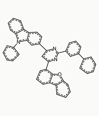 c1ccc(-c2cccc(-c3nc(-c4ccc5c6ccccc6n(-c6ccccc6)c5c4)cc(-c4cccc5c4oc4ccccc45)n3)c2)cc1